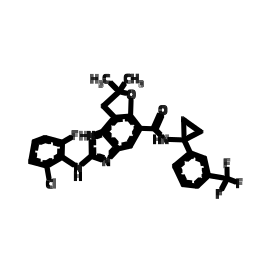 CC1(C)Cc2c(c(C(=O)NC3(c4cccc(C(F)(F)F)c4)CC3)cc3nc(Nc4c(F)cccc4Cl)[nH]c23)O1